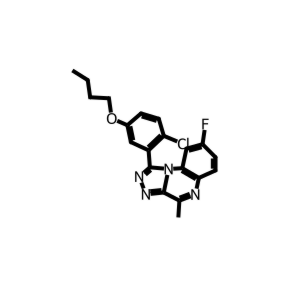 CCCCOc1ccc(Cl)c(-c2nnc3c(C)nc4ccc(F)cc4n23)c1